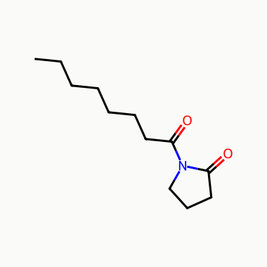 CCCCCCCC(=O)N1CCCC1=O